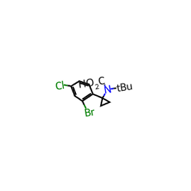 CC(C)(C)N(C(=O)O)C1(c2ccc(Cl)cc2Br)CC1